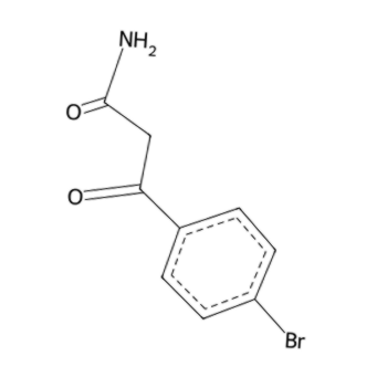 NC(=O)CC(=O)c1ccc(Br)cc1